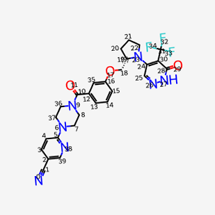 N#Cc1ccc(N2CCN(C(=O)c3cccc(OC[C@@H]4CCCN4c4cn[nH]c(=O)c4C(F)(F)F)c3)CC2)nc1